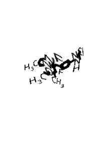 CCCOC(CC)Cc1c(-c2c(F)cc(-c3nc(Cl)c[nH]3)cc2F)nc2cc(C)ccn12